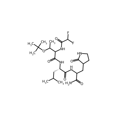 CC(C)C[C@H](NC(=O)C(NC(=O)C(F)F)C(C)OC(C)(C)C)C(=O)NC(CC1CCNC1=O)C(N)=O